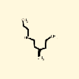 C=C(CCC)CCNCCC